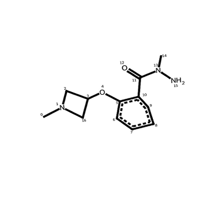 CN1CC(Oc2ccccc2C(=O)N(C)N)C1